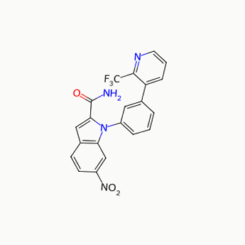 NC(=O)c1cc2ccc([N+](=O)[O-])cc2n1-c1cccc(-c2cccnc2C(F)(F)F)c1